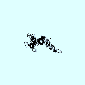 CC(=O)N1CCN(c2cnc(-n3ccc4cc(N(CC(=O)O)S(=O)(=O)c5cc(Cl)cc(Cl)c5)ccc43)cn2)CC1